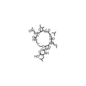 CCC(C)C1C(=O)N[C@@H](CC[S+](C)[O-])C(=O)NCCCC[C@@H](NC(=O)N[C@@H](CC(C)C)C(=O)O)C(=O)N[C@@H](CCSC)C(=O)N[C@@H](CC(C)C)C(=O)N1C